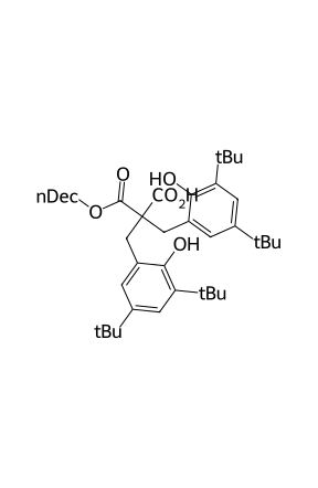 CCCCCCCCCCOC(=O)C(Cc1cc(C(C)(C)C)cc(C(C)(C)C)c1O)(Cc1cc(C(C)(C)C)cc(C(C)(C)C)c1O)C(=O)O